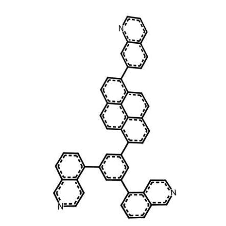 c1cnc2cc(-c3ccc4ccc5c(-c6cc(-c7cccc8cnccc78)cc(-c7cccc8cnccc78)c6)ccc6ccc3c4c65)ccc2c1